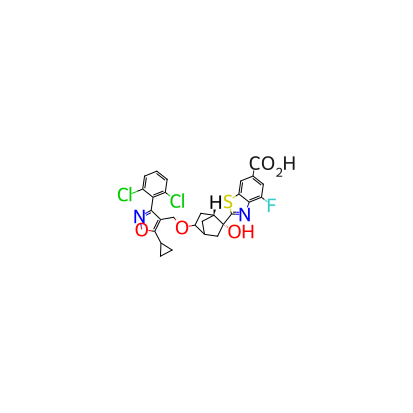 O=C(O)c1cc(F)c2nc([C@@]3(O)CC4C[C@@H]3CC4OCc3c(-c4c(Cl)cccc4Cl)noc3C3CC3)sc2c1